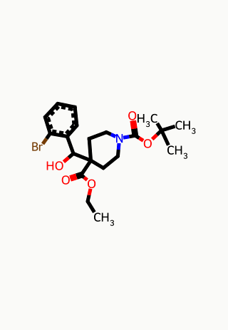 CCOC(=O)C1(C(O)c2ccccc2Br)CCN(C(=O)OC(C)(C)C)CC1